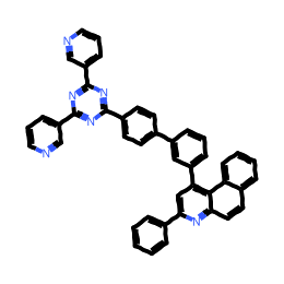 c1ccc(-c2cc(-c3cccc(-c4ccc(-c5nc(-c6cccnc6)nc(-c6cccnc6)n5)cc4)c3)c3c(ccc4ccccc43)n2)cc1